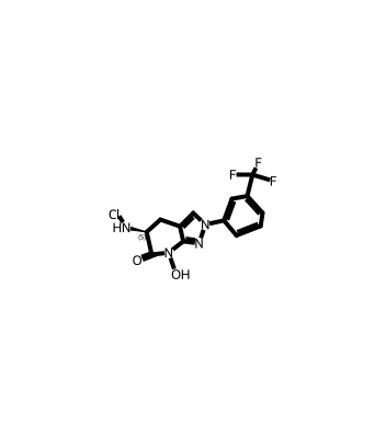 O=C1[C@@H](NCl)Cc2cn(-c3cccc(C(F)(F)F)c3)nc2N1O